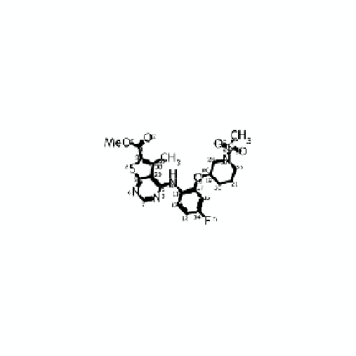 COC(=O)c1sc2ncnc(Nc3ccc(F)cc3O[C@@H]3CCCN(S(C)(=O)=O)C3)c2c1C